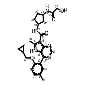 Cc1ccc(OCC2CC2)c(-c2ncnc3c(C(=O)NC4CCC(NC(=O)CO)C4)c(C)[nH]c23)c1